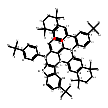 Cc1cc2c3c(c1)N(c1ccc(C(C)(C)C)cc1)c1sc4ccc(C(C)(C)C)cc4c1B3c1cc3c(cc1N2c1ccc(C(C)(C)C)cc1-c1ccc2c(c1)C(C)(C)CCC2(C)C)C(C)(C)CCC3(C)C